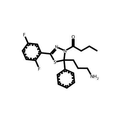 CCCC(=O)N1N=C(c2cc(F)ccc2F)SC1(CCCN)c1ccccc1